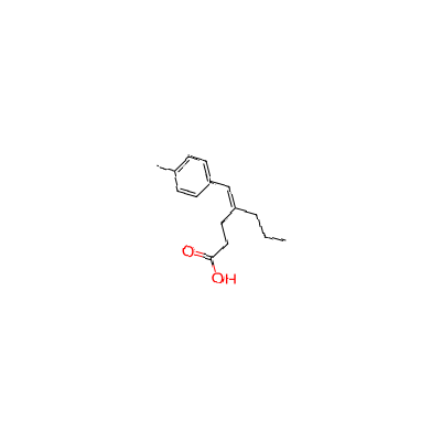 CCCC(=Cc1ccc(C)cc1)CCC(=O)O